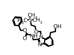 CS(C)(C)CCOCn1c(CNC(=O)OCc2ccccc2)nc2cccc(CCO)c21